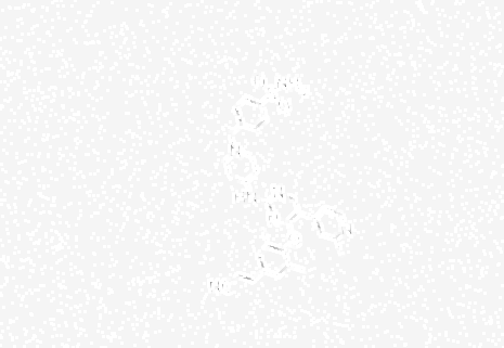 Cc1cc(-c2cnc(NC3CCN(Cc4ccc(S(N)(=O)=O)cc4)CC3)nc2Oc2c(C)cc(C=CC#N)cc2C)ccn1